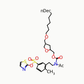 CCCCCCCCCCCCCCCCOCC1COC(COC(=O)N(CCc2cc(S(=O)(=O)Oc3nccs3)ccc2C)C(C)=O)C1